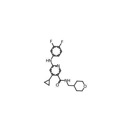 O=C(NCC1CCOCC1)c1cnc(Nc2ccc(F)c(F)c2)cc1C1CC1